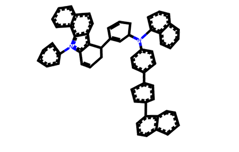 C1=Cc2c(c3ccc4ccccc4c3n2-c2ccccc2)C(C2=CC(N(c3ccc(-c4ccc(-c5cccc6ccccc56)cc4)cc3)c3cccc4ccccc34)CC=C2)C1